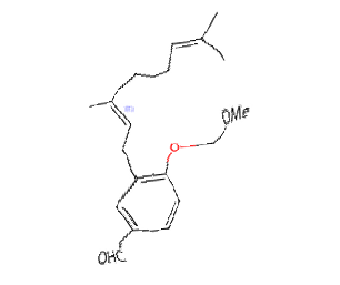 COCOc1ccc(C=O)cc1C/C=C(\C)CCC=C(C)C